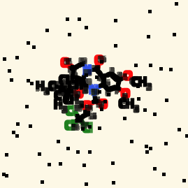 COc1cc2c(cc1OC)N(C(=O)OCC(Cl)(Cl)Cl)[C@@H](O[Si](C)(C)C(C)(C)C)[C@@H]1CC(=O)CN1C2=O